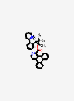 CC[C@]1(C)C(C)(OC(=O)c2nccc3c4ccccc4c4ccccc4c23)[C@@]1(C)c1ccccc1C1C=CC=CN1